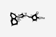 CC[N+]1(C2CCCc3ccccc32)C=C(NCc2ccc(OC)c(Cl)c2)C=N1